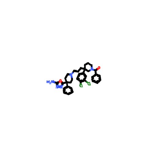 Nc1nnc(C2(c3ccccc3)CCN(CCCC3(c4ccc(Cl)c(Cl)c4)CCCN(C(=O)c4ccccc4)C3)CC2)o1